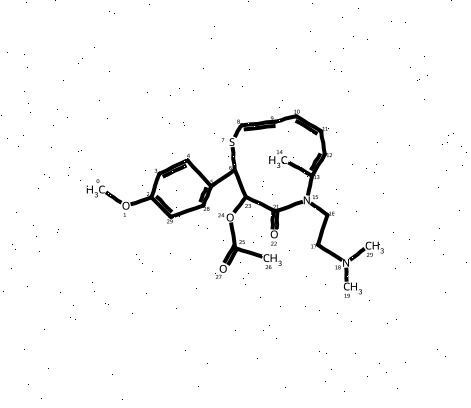 COc1ccc(C2S/C=C/C=C\C=C(/C)N(CCN(C)C)C(=O)C2OC(C)=O)cc1